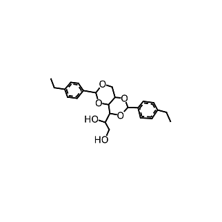 CCc1ccc(C2OC3COC(c4ccc(CC)cc4)OC3C(C(O)CO)O2)cc1